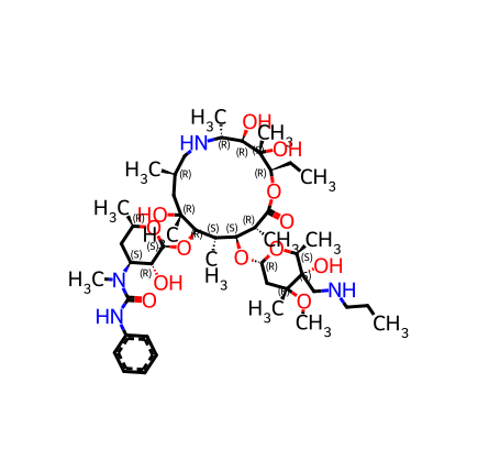 CCCNC[C@]1(O)[C@H](C)O[C@@H](O[C@H]2[C@H](C)[C@@H](O[C@@H]3O[C@H](C)C[C@H](N(C)C(=O)Nc4ccccc4)[C@H]3O)[C@](C)(O)C[C@@H](C)CN[C@H](C)[C@@H](O)[C@](C)(O)[C@@H](CC)OC(=O)[C@@H]2C)C[C@@]1(C)OC